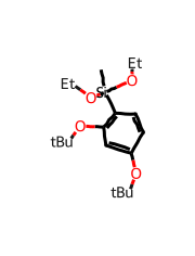 CCO[Si](C)(OCC)c1ccc(OC(C)(C)C)cc1OC(C)(C)C